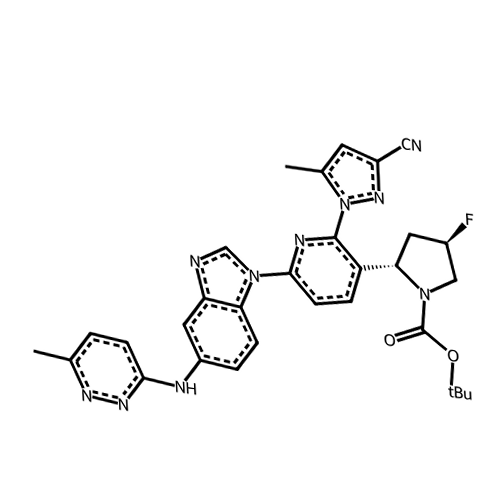 Cc1ccc(Nc2ccc3c(c2)ncn3-c2ccc([C@@H]3C[C@@H](F)CN3C(=O)OC(C)(C)C)c(-n3nc(C#N)cc3C)n2)nn1